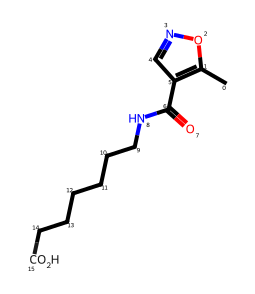 Cc1oncc1C(=O)NCCCCCCC(=O)O